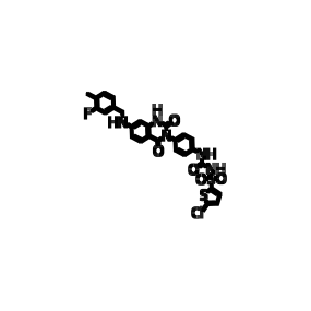 Cc1ccc(CNc2ccc3c(=O)n(-c4ccc(NC(=O)NS(=O)(=O)c5ccc(Cl)s5)cc4)c(=O)[nH]c3c2)cc1F